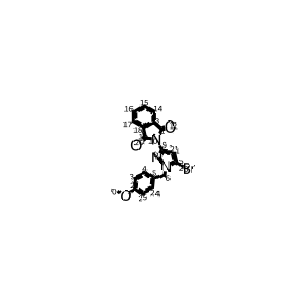 COc1ccc(Cn2nc(N3C(=O)c4ccccc4C3=O)cc2Br)cc1